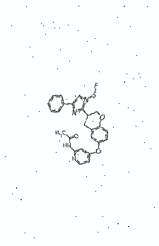 CC(=O)Nc1cc(Oc2ccc3c(c2)CC(c2nc(-c4ccccc4)cn2SF)CO3)ccn1